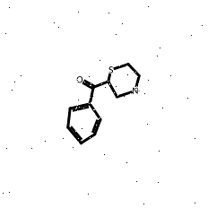 O=C(c1ccccc1)C1C[N]CCS1